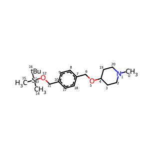 CN1CCC(OCc2ccc(CO[Si](C)(C)C(C)(C)C)cc2)CC1